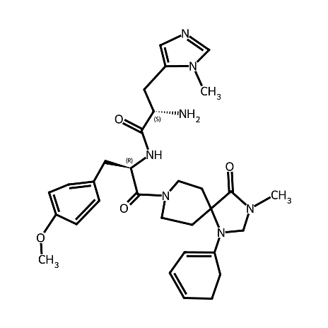 COc1ccc(C[C@@H](NC(=O)[C@@H](N)Cc2cncn2C)C(=O)N2CCC3(CC2)C(=O)N(C)CN3C2=CC=CCC2)cc1